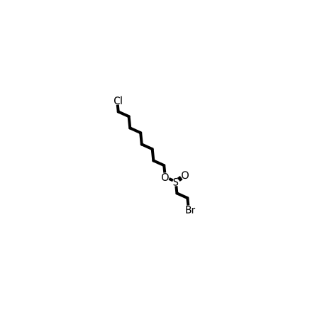 O=S(CCBr)OCCCCCCCCCl